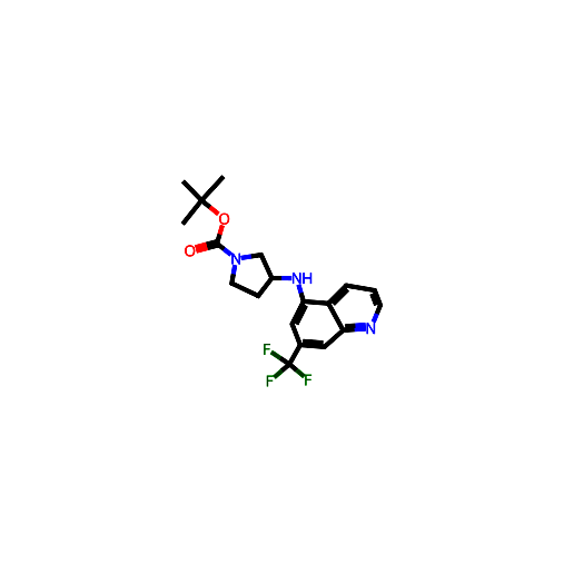 CC(C)(C)OC(=O)N1CCC(Nc2cc(C(F)(F)F)cc3ncccc23)C1